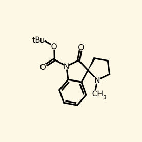 CN1CCC[C@@]12C(=O)N(C(=O)OC(C)(C)C)c1ccccc12